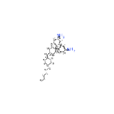 CCCCCCC1CCC(CC2CCC(c3ccc(N)cc3)(c3ccc(N)cc3)CC2)CC1